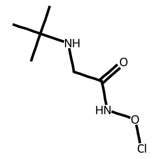 CC(C)(C)NCC(=O)NOCl